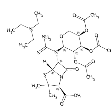 CC(=O)O[C@H]1[C@H](OC(C)=O)[C@@H](N(C(N)=S)[C@@H]2C(=O)N3[C@@H]2SC(C)(C)[C@@H]3C(=O)O)OC[C@H]1OC(C)=O.CCN(CC)CC